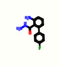 NNC(=O)c1c(N)cccc1-c1ccc(F)cc1